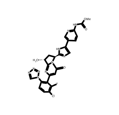 COC(=O)Nc1ccc(-c2cnc([C@@H]3C[C@@H](C)c4nc(-c5c(-n6cnnn6)ccc(Cl)c5F)cc(=O)n43)[nH]2)cn1